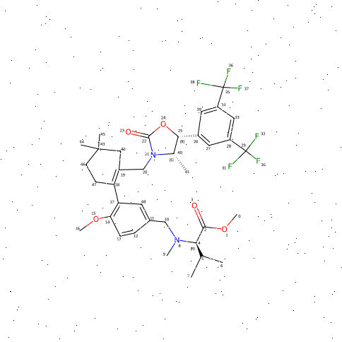 COC(=O)[C@@H](C(C)C)N(C)Cc1ccc(OC)c(C2=C(CN3C(=O)O[C@H](c4cc(C(F)(F)F)cc(C(F)(F)F)c4)[C@@H]3C)CC(C)(C)CC2)c1